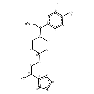 CCCCCC(c1ccc(C#N)c(C)c1)N1CCN(CCC(C#N)c2cccs2)CC1